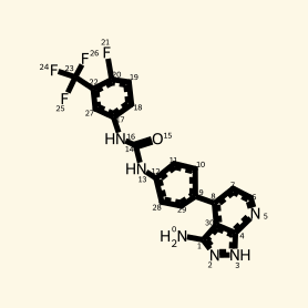 Nc1n[nH]c2nccc(-c3ccc(NC(=O)Nc4ccc(F)c(C(F)(F)F)c4)cc3)c12